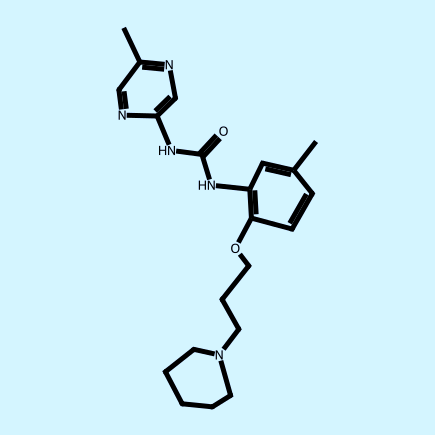 Cc1ccc(OCCCN2CCCCC2)c(NC(=O)Nc2cnc(C)cn2)c1